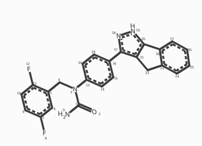 NC(=O)N(Cc1cc(F)ccc1F)c1ccc(-c2n[nH]c3c2Cc2ccccc2-3)cc1